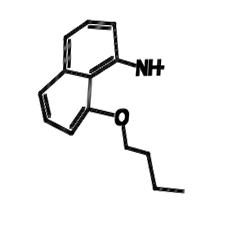 CCCCOc1cccc2cccc([NH])c12